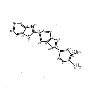 Nc1ccc(-c2nc3ccc(-c4nc5ccccc5s4)cc3s2)cc1[125I]